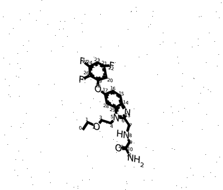 CCOCCn1c(CNCC(N)=O)nc2ccc(Oc3cc(F)cc(F)c3F)cc21